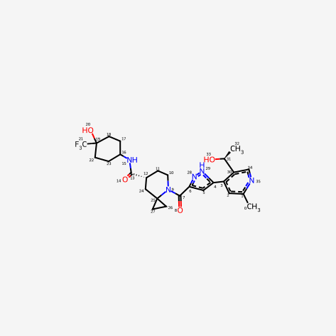 Cc1cc(-c2cc(C(=O)N3CC[C@@H](C(=O)NC4CCC(O)(C(F)(F)F)CC4)CC34CC4)n[nH]2)c([C@H](C)O)cn1